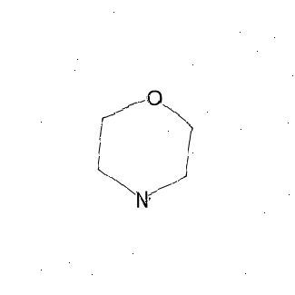 C1COCC[N]1